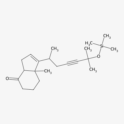 CC(CC#CC(C)(C)O[Si](C)(C)C)C1=CCC2C(=O)CCCC12C